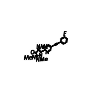 CNN1C(=O)C(NC)(NC)N=C1c1ncc(C#Cc2cccc(F)c2)cn1